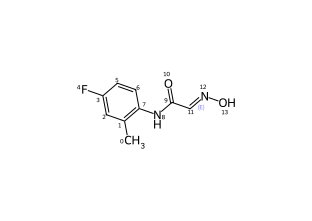 Cc1cc(F)ccc1NC(=O)/C=N/O